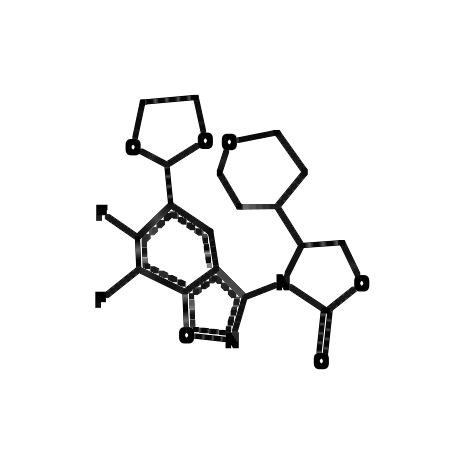 O=C1OCC(C2CCOCC2)N1c1noc2c(F)c(F)c(C3OCCO3)cc12